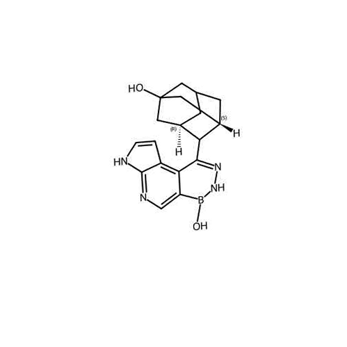 OB1NN=C(C2[C@@H]3CC4C[C@H]2CC(O)(C4)C3)c2c1cnc1[nH]ccc21